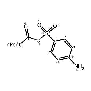 CCCCCC(=O)OS(=O)(=O)c1ccc(N)cc1